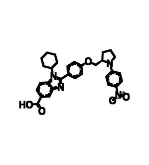 O=C(O)c1ccc2c(c1)nc(-c1ccc(OC[C@H]3CCCN3c3ccc([N+](=O)[O-])cc3)cc1)n2C1CCCCC1